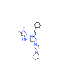 Cc1cc(Nc2cc(N3CCC(N4CCCCC4)C3)nc(/C=C/c3ccccc3)n2)n[nH]1